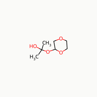 CC(C)(O)OC1COCCO1